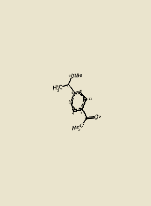 COC(=O)c1ccc(C(C)OC)cc1